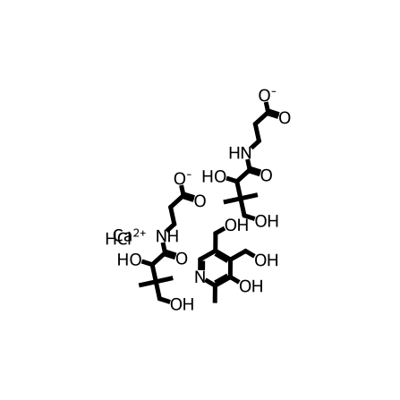 CC(C)(CO)C(O)C(=O)NCCC(=O)[O-].CC(C)(CO)C(O)C(=O)NCCC(=O)[O-].Cc1ncc(CO)c(CO)c1O.Cl.[Ca+2]